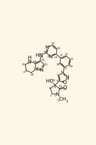 CN1CCC(O)(c2cc(-c3cccc(-c4ccnc(Nc5cnn6c5NCCC6)n4)c3)no2)C1=O